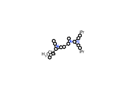 CC(C)c1ccc2cc3c(cc2c1)c1cc(-n2c4ccccc4c4cc(-c5ccc6cc7c8cc(-c9ccc%10c(c9)C(C)(C)c9ccccc9-%10)cc9c%10cc%11ccccc%11cc%10n(c7cc6c5)c98)ccc42)cc2c4cc5cc(C(C)C)ccc5cc4n3c12